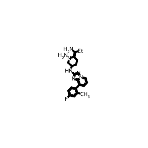 CC/C(N)=C1\CCC(Nc2nc3c(-c4ccc(F)cc4C)cccn3n2)CN1N